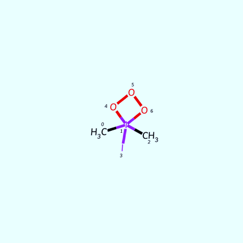 CI1(C)(I)OOO1